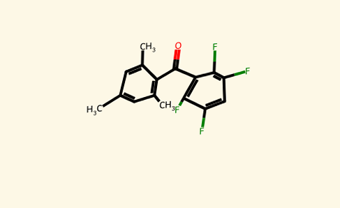 Cc1cc(C)c(C(=O)c2c(F)c(F)cc(F)c2F)c(C)c1